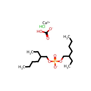 CCCCC(CC)COP(=O)([O-])OCC(CC)CCCC.Cl.O=C([O-])O.[Ca+2]